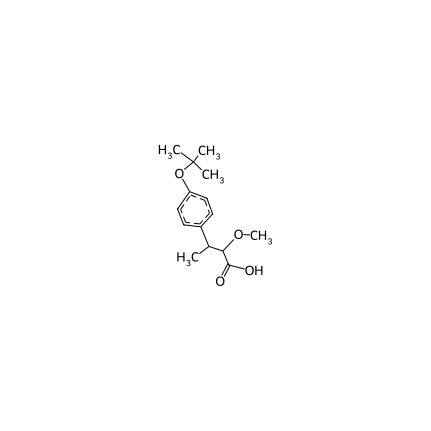 COC(C(=O)O)C(C)c1ccc(OC(C)(C)C)cc1